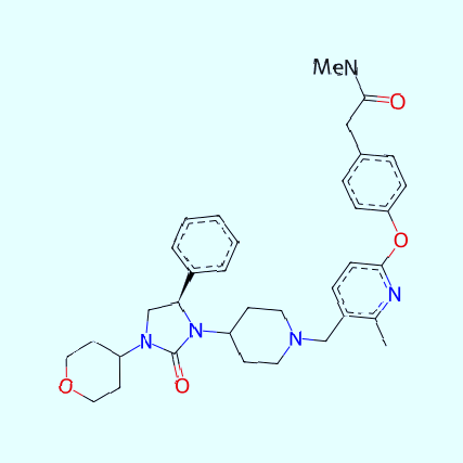 CNC(=O)Cc1ccc(Oc2ccc(CN3CCC(N4C(=O)N(C5CCOCC5)C[C@H]4c4ccccc4)CC3)c(C)n2)cc1